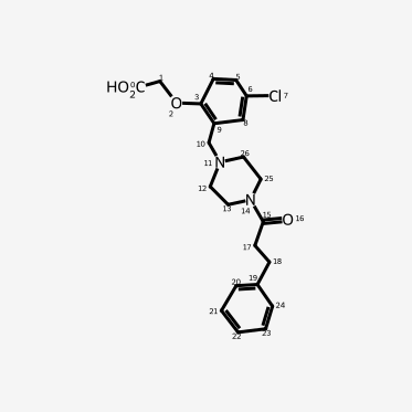 O=C(O)COc1ccc(Cl)cc1CN1CCN(C(=O)CCc2ccccc2)CC1